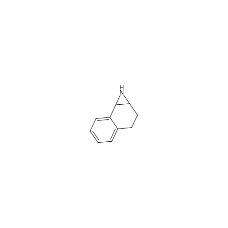 c1ccc2c(c1)CCC1NC21